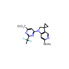 CCOC(=O)c1cc(N2CC3(CC3)c3cnc(NC(C)=O)cc32)nc(C(C)(F)F)n1